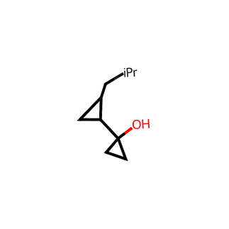 CC(C)CC1CC1C1(O)CC1